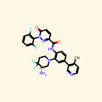 N#Cc1ccncc1-c1ccc(NC(=O)c2ccc(=O)n(-c3c(F)cccc3F)n2)c(N2CCC(F)(F)[C@@H](N)C2)c1